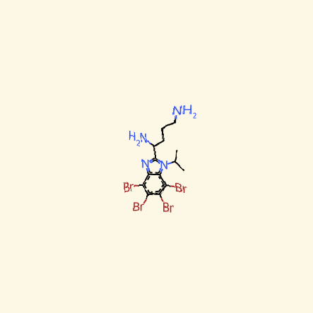 CC(C)n1c(C(N)CCCN)nc2c(Br)c(Br)c(Br)c(Br)c21